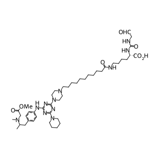 COC(=O)CN(C)C(C)Cc1ccc(Nc2nc(N3CCCCC3)nc(N3CCN(CCCCCCCCCCC(=O)NCCCC[C@H](NC(=O)NCC=O)C(=O)O)CC3)n2)cc1